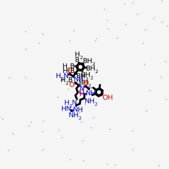 Bc1c(B)c(B)c(C(B)(B)[C@](B)(NC(=O)[C@](B)(CCCCN)NC(=O)[C@H](Cc2c(C)cc(O)cc2C)NC(=O)[C@H](N)CCCNC(=N)N)C(N)=O)c(B)c1B